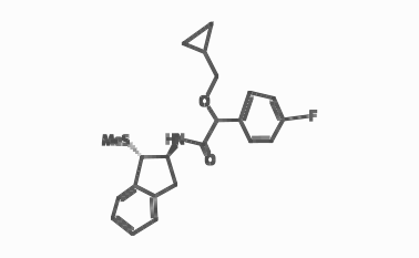 CS[C@H]1c2ccccc2C[C@@H]1NC(=O)C(OCC1CC1)c1ccc(F)cc1